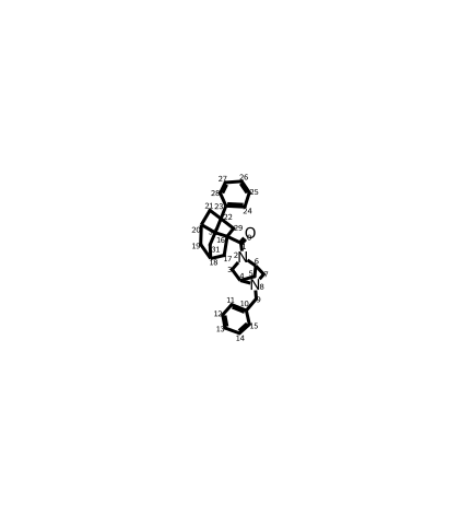 O=C(N1CC2CC1CN2Cc1ccccc1)C12CC3CC4CC(c5ccccc5)(C1)C42C3